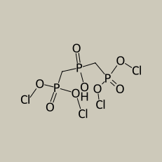 O=P(O)(CP(=O)(OCl)OCl)CP(=O)(OCl)OCl